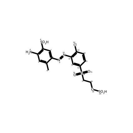 Cc1cc(N)c(S(=O)(=O)O)cc1N=Nc1cc(S(=O)(=O)CCOS(=O)(=O)O)ccc1Cl